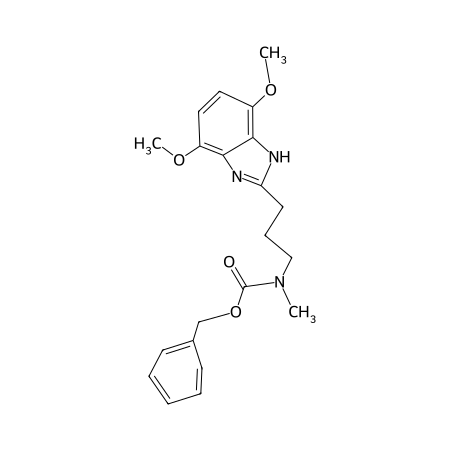 COc1ccc(OC)c2[nH]c(CCCN(C)C(=O)OCc3ccccc3)nc12